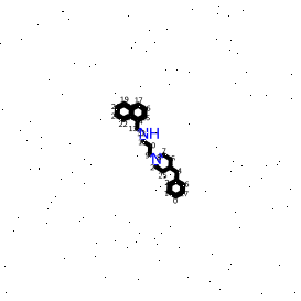 c1ccc(CC2CCN(CCCNCc3cccc4ccccc34)CC2)cc1